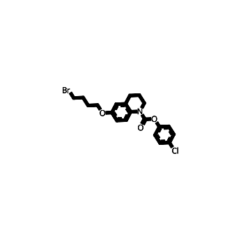 O=C(Oc1ccc(Cl)cc1)N1CCCc2cc(OCCCCBr)ccc21